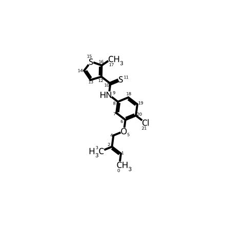 CC=C(C)COc1cc(NC(=S)c2ccsc2C)ccc1Cl